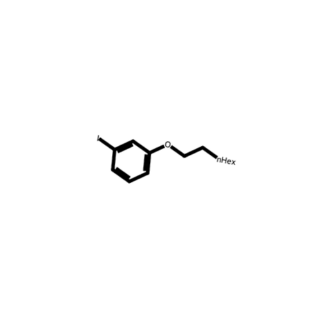 CCCCCCCCOc1cccc(I)c1